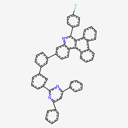 Fc1ccc(-c2nc3cc(-c4cccc(-c5cccc(-c6nc(-c7ccccc7)cc(-c7ccccc7)n6)c5)c4)ccc3c3c4ccccc4c4ccccc4c23)cc1